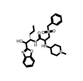 CCC[C@H](NC(=O)C(CS(=O)(=O)Cc1ccccc1)NC1CCN(C)CC1)C(O)c1nc2ccccc2o1